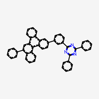 c1ccc(-c2nc(-c3ccccc3)nc(-c3cccc(-c4ccc5c(c4)c4ccccc4c4cc(-c6ccccc6)c6ccccc6c54)c3)n2)cc1